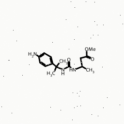 COC(=O)CC(C)NC(=O)NC(C)(C)c1ccc(N)cc1